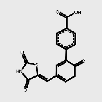 O=C1NC(=O)C(=CC2=CCC(=S)C(c3ccc(C(=O)O)cc3)=C2)S1